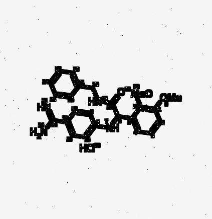 COc1cccc(C(Nc2ccc(C(=N)N)cc2)C(=O)NCc2ccccc2)c1OC.Cl